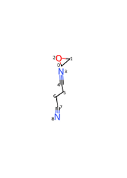 C1CO1.N#CCCC#N